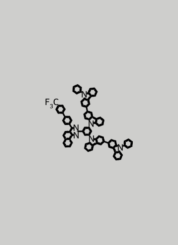 FC(F)(F)c1ccc(-c2ccc(-c3nc(-c4cc(-n5c6ccccc6c6cc(-c7ccc8c(c7)c7ccccc7n8-c7ccccc7)ccc65)cc(-n5c6ccccc6c6cc(-c7ccc8c(c7)c7ccccc7n8-c7ccccc7)ccc65)c4)nc4c3ccc3ccccc34)cc2)cc1